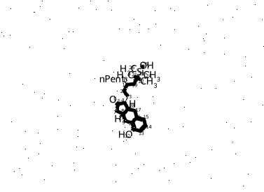 CCCCC[C@@H](CC[C@H]1C(=O)C[C@H]2Cc3c(O)cccc3C[C@H]21)CC(C)(C)[Si](C)(C)O